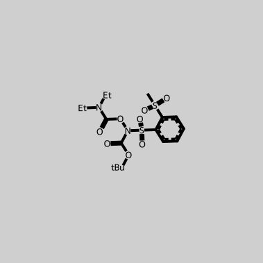 CCN(CC)C(=O)ON(C(=O)OC(C)(C)C)S(=O)(=O)c1ccccc1S(C)(=O)=O